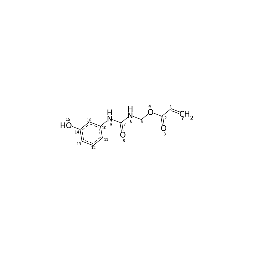 C=CC(=O)OCNC(=O)Nc1cccc(O)c1